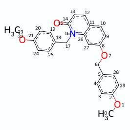 COc1ccc(COc2ccc3ccc(=O)n(Cc4ccc(OC)cc4)c3c2)cc1